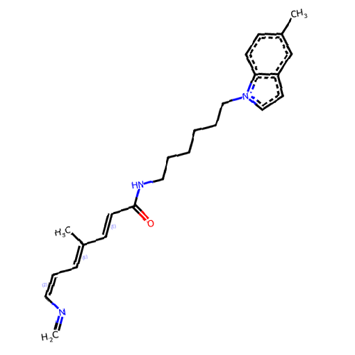 C=N\C=C/C=C(C)/C=C/C(=O)NCCCCCCn1ccc2cc(C)ccc21